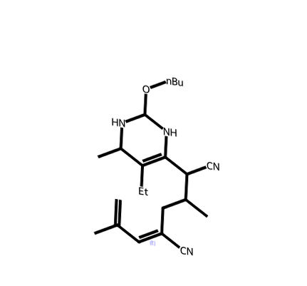 C=C(C)/C=C(/C#N)CC(C)C(C#N)C1=C(CC)C(C)NC(OCCCC)N1